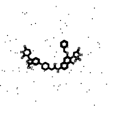 Cc1nn(C2CCC(=O)NC2=O)c2ccc(N3CCC(CC(=O)Nc4ccc5c(F)c(N6CC(=O)NS6(=O)=O)c(OCc6ccccc6)cc5c4)CC3)cc12